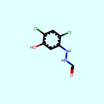 O=CNNc1cc(O)c(Cl)cc1Cl